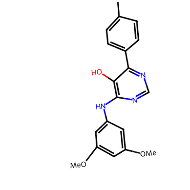 COc1cc(Nc2ncnc(-c3ccc(C)cc3)c2O)cc(OC)c1